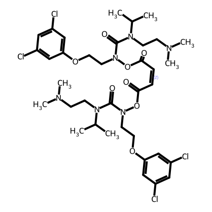 CC(C)N(CCN(C)C)C(=O)N(CCOc1cc(Cl)cc(Cl)c1)OC(=O)/C=C\C(=O)ON(CCOc1cc(Cl)cc(Cl)c1)C(=O)N(CCN(C)C)C(C)C